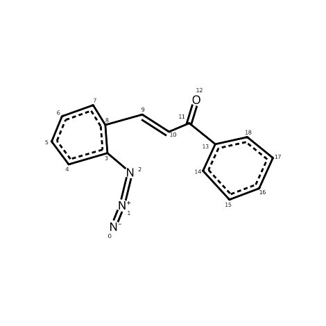 [N-]=[N+]=Nc1ccccc1C=CC(=O)c1ccccc1